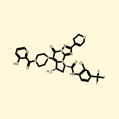 C[C@@H]1C[C@H](C(=O)Nc2ccc(C(F)(F)F)cc2Cl)n2c1c(N1CCN(C(=O)c3ncccc3O)CC1)c(=O)n1nc(C3=CCOCC3)nc21